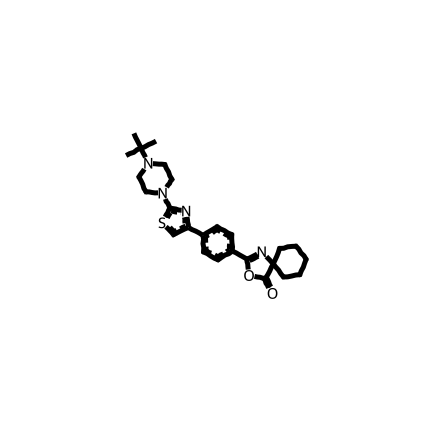 CC(C)(C)N1CCN(c2nc(-c3ccc(C4=NC5(CCCCC5)C(=O)O4)cc3)cs2)CC1